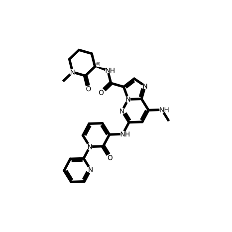 CNc1cc(Nc2cccn(-c3ccccn3)c2=O)nn2c(C(=O)N[C@@H]3CCCN(C)C3=O)cnc12